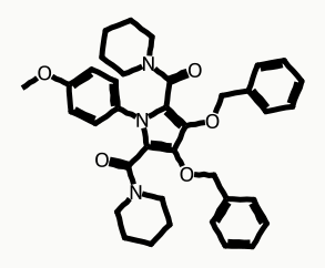 COc1ccc(-n2c(C(=O)N3CCCCC3)c(OCc3ccccc3)c(OCc3ccccc3)c2C(=O)N2CCCCC2)cc1